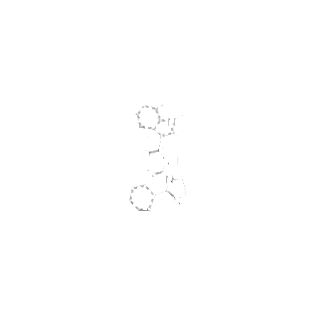 Cn1cc(C(=O)NC2=Nc3ccccc3C3=NCCN23)c2ccccc21